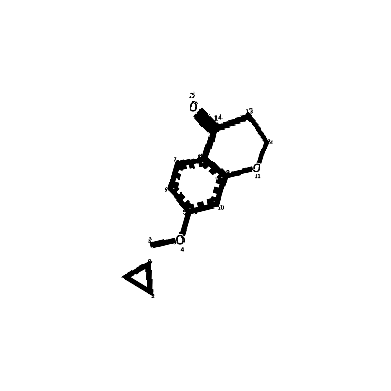 C1CC1.COc1ccc2c(c1)OCCC2=O